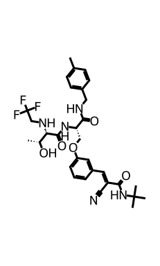 Cc1ccc(CNC(=O)[C@H](COc2cccc(/C=C(\C#N)C(=O)NC(C)(C)C)c2)NC(=O)[C@@H](NCC(F)(F)F)[C@@H](C)O)cc1